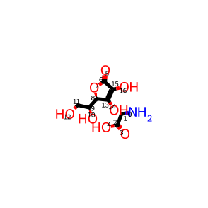 NCC(=O)O.O=C1O[C@H]([C@@H](O)CO)C(O)=C1O